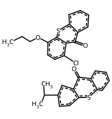 CC(C)c1ccc2sc3ccccc3c(=O)c2c1.CCCOc1ccc(Cl)c2c(=O)c3ccccc3sc12